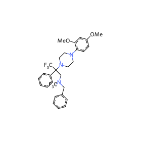 COc1ccc(N2CCN(C(CN(Cc3ccccc3)C(F)(F)F)(c3ccccc3)C(F)(F)F)CC2)c(OC)c1